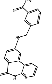 NC(=O)c1cccc(CNc2ccc3c(=O)[nH]c4ncccc4c3c2)c1